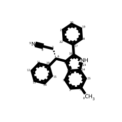 Cc1ccc2c([C@@H](CC#N)c3ccccc3)c(-c3ccccc3)[nH]c2c1